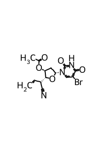 C=CC(C#N)[C@H]1O[C@@H](n2cc(Br)c(=O)[nH]c2=O)C[C@@H]1OC(C)=O